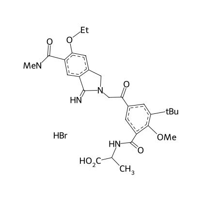 Br.CCOc1cc2c(cc1C(=O)NC)C(=N)N(CC(=O)c1cc(C(=O)NC(C)C(=O)O)c(OC)c(C(C)(C)C)c1)C2